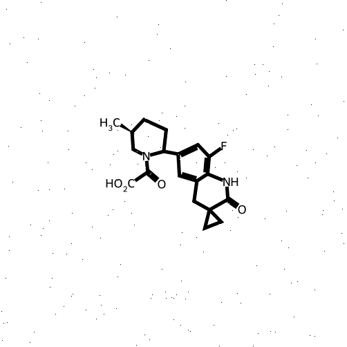 C[C@H]1CCC(c2cc(F)c3c(c2)CC2(CC2)C(=O)N3)N(C(=O)C(=O)O)C1